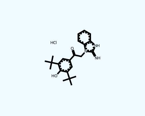 CC(C)(C)c1cc(C(=O)Cn2c(=N)[nH]c3ccccc32)cc(C(C)(C)C)c1O.Cl